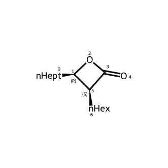 CCCCCCC[C@H]1OC(=O)[C@H]1CCCCCC